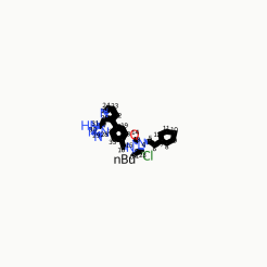 CCCCc1c(Cl)n(CCC2CCCCC2)c(=O)n1Cc1ccc(-c2cccnc2-c2nnn[nH]2)cc1